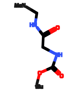 CNCNC(=O)CNC(=O)OC(C)(C)C